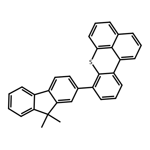 CC1(C)c2ccccc2-c2ccc(-c3cccc4c3Sc3cccc5cccc-4c35)cc21